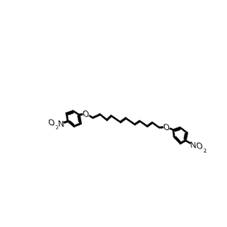 O=[N+]([O-])c1ccc(OCCCCCCCCCCCOc2ccc([N+](=O)[O-])cc2)cc1